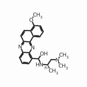 COc1cccc2c1ccc1nc3cccc(C(O)N[C@H](C)CN(C)C)c3nc12